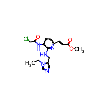 CCn1cncc1CNc1nc(/C=C/C(=O)OC)ccc1NC(=O)CCl